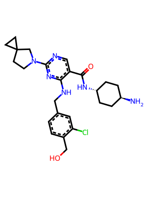 N[C@H]1CC[C@H](NC(=O)c2cnc(N3CCC4(CC4)C3)nc2NCc2ccc(CO)c(Cl)c2)CC1